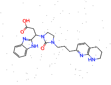 O=C(O)CC(c1nc2ccccc2[nH]1)N1CCN(CCCc2ccc3c(n2)NCCC3)C1=O